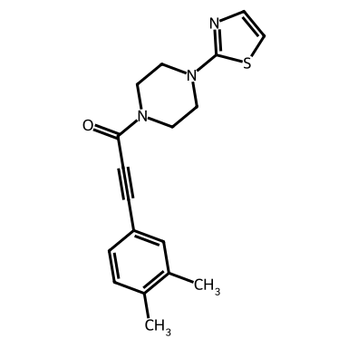 Cc1ccc(C#CC(=O)N2CCN(c3nccs3)CC2)cc1C